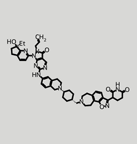 C=CCn1c(=O)c2cnc(Nc3ccc4c(c3)CCN([C@H]3CC[C@@H](CN5CCc6ccc7c(C8CCC(=O)NC8=O)noc7c6CC5)CC3)C4)nc2n1-c1ccc2c(n1)[C@@](O)(CC)CC2